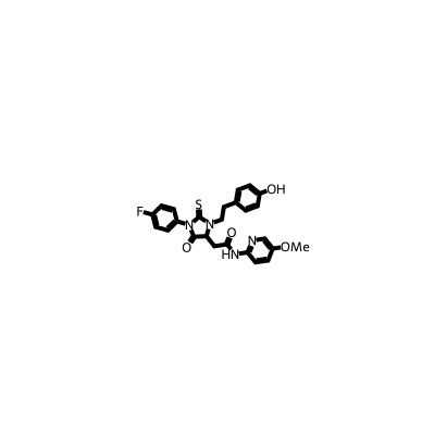 COc1ccc(NC(=O)CC2C(=O)N(c3ccc(F)cc3)C(=S)N2CCc2ccc(O)cc2)nc1